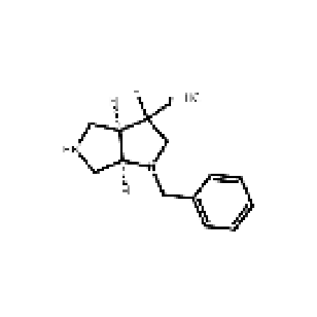 Cl.FC1(F)CN(Cc2ccccc2)[C@H]2CNC[C@H]21